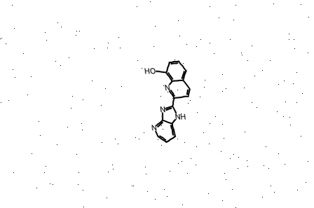 Oc1cccc2ccc(-c3nc4ncccc4[nH]3)nc12